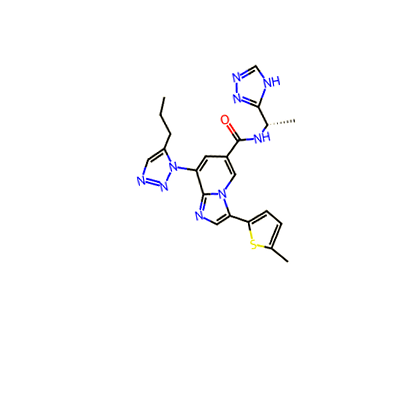 CCCc1cnnn1-c1cc(C(=O)N[C@@H](C)c2nnc[nH]2)cn2c(-c3ccc(C)s3)cnc12